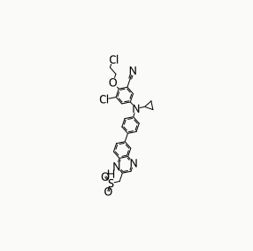 N#Cc1cc(N(c2ccc(-c3ccc4nc(C[SH](=O)=O)cnc4c3)cc2)C2CC2)cc(Cl)c1OCCCl